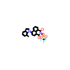 Cc1cccc2ccn(-c3ccc4c5c(cccc35)C(=O)N(OS(=O)(=O)C(F)(F)F)C4=O)c12